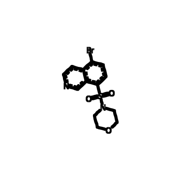 O=S(=O)(c1ccc(Br)c2ccncc12)N1CCOCC1